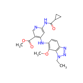 CCn1nnc2ccc(Nc3cc(NC(=O)C4CC4)ncc3C(=O)OC)c(OC)c21